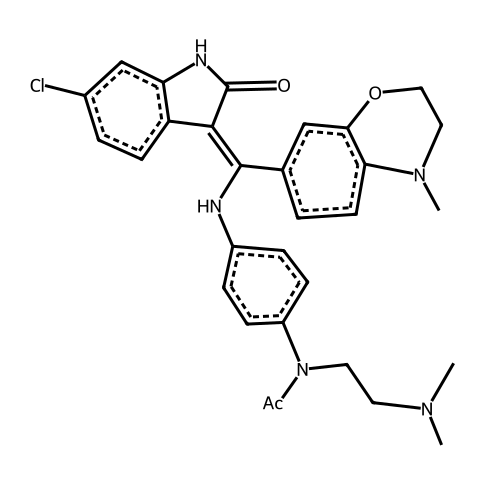 CC(=O)N(CCN(C)C)c1ccc(NC(=C2C(=O)Nc3cc(Cl)ccc32)c2ccc3c(c2)OCCN3C)cc1